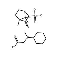 CC12CCC(C(S(=O)(=O)[O-])C1=O)C2(C)C.CCCC(=O)C[S+](C)C1CCCCC1